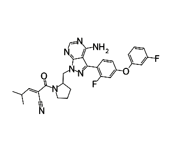 CC(C)C=C(C#N)C(=O)N1CCCC1Cn1nc(-c2ccc(Oc3cccc(F)c3)cc2F)c2c(N)ncnc21